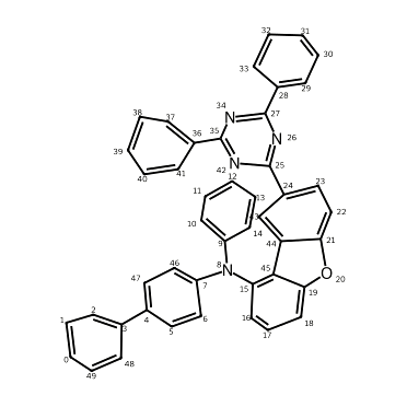 c1ccc(-c2ccc(N(c3ccccc3)c3cccc4oc5ccc(-c6nc(-c7ccccc7)nc(-c7ccccc7)n6)cc5c34)cc2)cc1